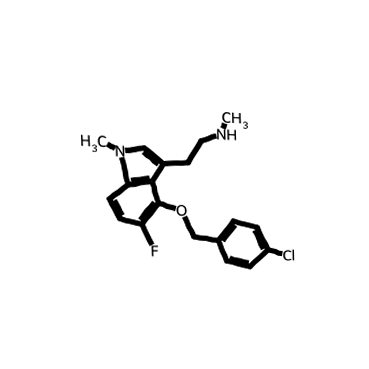 CNCCc1cn(C)c2ccc(F)c(OCc3ccc(Cl)cc3)c12